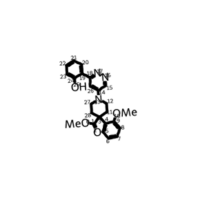 COC(=O)C1(c2ccccc2OC)CCN(c2cnnc(-c3ccccc3O)c2)CC1